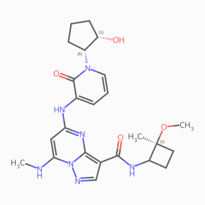 CNc1cc(Nc2cccn([C@@H]3CCC[C@@H]3O)c2=O)nc2c(C(=O)NC3CC[C@]3(C)OC)cnn12